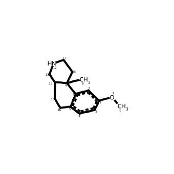 COc1ccc2c(c1)C1(C)CCNCC1CC2